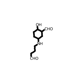 O=CCCCNC1CCC(O)C(C=O)C1